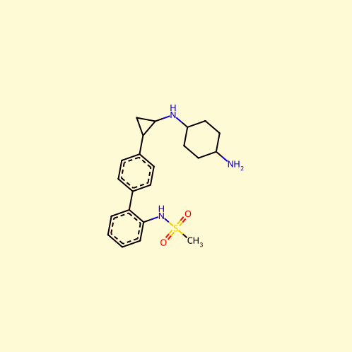 CS(=O)(=O)Nc1ccccc1-c1ccc(C2CC2NC2CCC(N)CC2)cc1